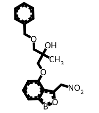 CC(O)(COCc1ccccc1)COc1cccc2boc(C[N+](=O)[O-])c12